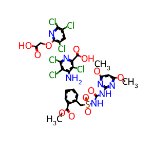 COC(=O)c1ccccc1CS(=O)(=O)NC(=O)Nc1nc(OC)cc(OC)n1.Nc1c(Cl)c(Cl)nc(C(=O)O)c1Cl.O=C(O)COc1nc(Cl)c(Cl)cc1Cl